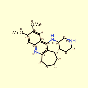 COc1cc2nc3c(c(N[C@@H]4CCCNC4)c2cc1OC)CCCCC3